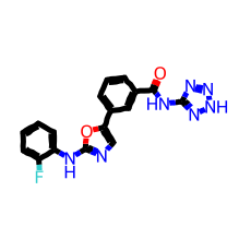 O=C(Nc1nn[nH]n1)c1cccc(-c2cnc(Nc3ccccc3F)o2)c1